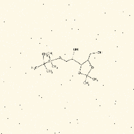 CC1(C)OC(CO)C([C@@H](O)CO[Si](C)(C)C(C)(C)C)O1